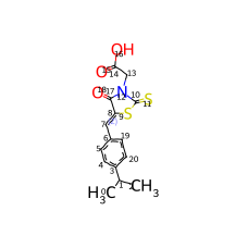 CC(C)c1ccc(/C=C2\SC(=S)N(CC(=O)O)C2=O)cc1